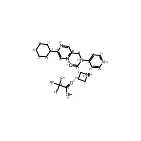 O=C(O)C(F)(F)F.O=C([C@H]1CCN1)N(Cc1cnc(C2CCCCC2)cn1)c1ccncc1